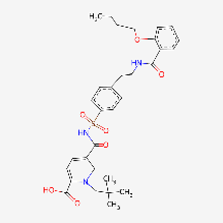 CCCCOc1ccccc1C(=O)NCCc1ccc(S(=O)(=O)NC(=O)C2=CC=C(C(=O)O)N(CC(C)(C)C)C2)cc1